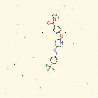 COC(=O)c1ccc(Oc2ccc(/N=C/c3ccc(C(F)(F)F)cc3)cn2)cc1